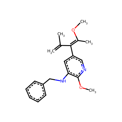 C=C(C)/C(=C(/C)OC)c1cnc(OC)c(NCc2ccccc2)c1